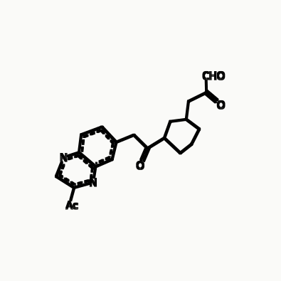 CC(=O)c1cnc2ccc(CC(=O)C3CCCC(CC(=O)C=O)C3)cc2n1